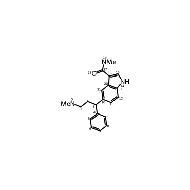 CNCCC(c1ccccc1)c1ccc2[nH]cc(C(=O)NC)c2c1